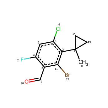 CC1(c2c(Cl)cc(F)c(C=O)c2Br)CC1